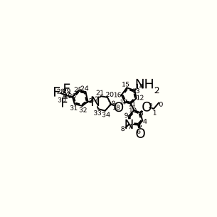 CCOc1cc(=O)n(C)cc1-c1cc(N)ccc1OC1CCN(c2ccc(C(F)(F)F)cc2)CC1